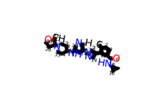 Cc1ccc(C(=O)NC2CC2)cc1-c1cnn(-c2cncc(NC3CCN(C4CCOC4C)CC3)c2)c1